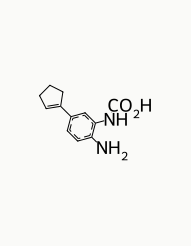 Nc1ccc(C2=CCCC2)cc1NC(=O)O